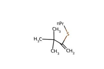 C=C(SCCC)C(C)(C)C